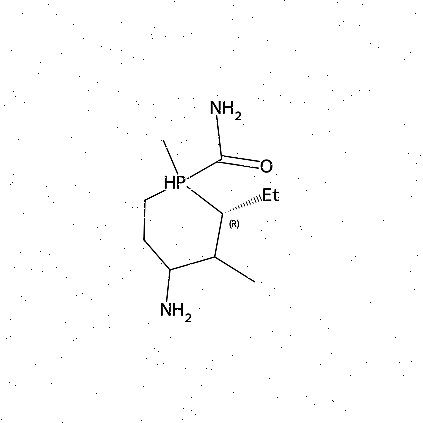 CC[C@@H]1C(C)C(N)CC[PH]1(C)C(N)=O